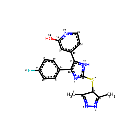 CC1=NN=C(C)C1Sc1nc(-c2ccc(F)cc2)c(-c2ccnc(O)c2)[nH]1